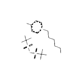 CCCCCC[n+]1ccc(C)cc1.O=S(=O)([N-]S(=O)(=O)C(F)(F)F)C(F)(F)F